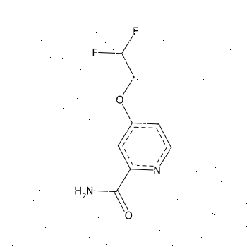 NC(=O)c1cc(OCC(F)F)ccn1